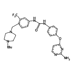 CC(C)(C)N1CCN(Cc2ccc(NC(=O)Nc3ccc(Oc4ccnc(N)n4)cc3)cc2C(F)(F)F)CC1